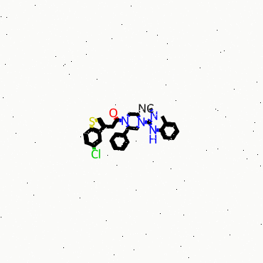 Cc1ccccc1N/C(=N/C#N)N1CCN(C(=O)Cc2csc3ccc(Cl)cc23)C(c2ccccc2)C1